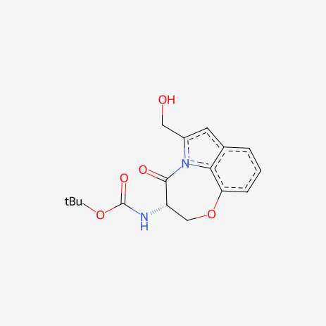 CC(C)(C)OC(=O)N[C@H]1COc2cccc3cc(CO)n(c23)C1=O